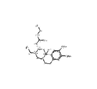 COc1cc2c(cc1OC)[C@H]1C[C@@H](OC(=O)NCC(C)C)[C@H](CC(C)C)CN1CC2